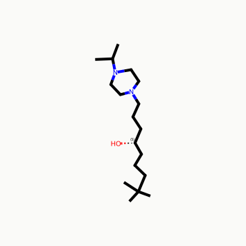 CC(C)N1CCN(CCC[C@@H](O)CCCC(C)(C)C)CC1